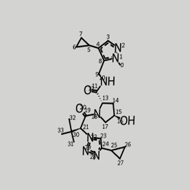 Cn1ncc(C2CC2)c1CNC(=O)[C@@H]1C[C@@H](O)CN1C(=O)[C@@H](n1cc(C2CC2)nn1)C(C)(C)C